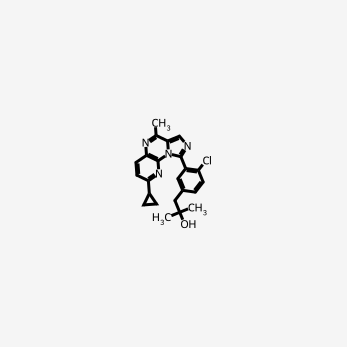 Cc1nc2ccc(C3CC3)nc2n2c(-c3cc(CC(C)(C)O)ccc3Cl)ncc12